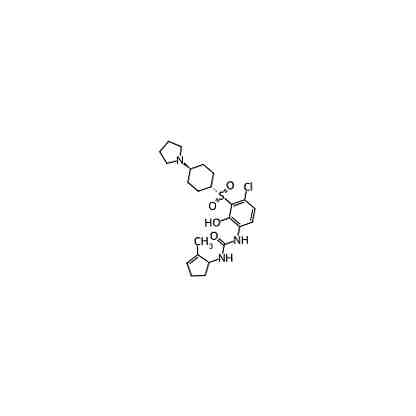 CC1=CCCC1NC(=O)Nc1ccc(Cl)c(S(=O)(=O)[C@H]2CC[C@H](N3CCCC3)CC2)c1O